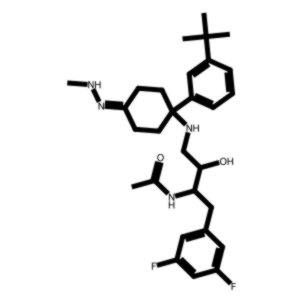 CNN=C1CCC(NCC(O)C(Cc2cc(F)cc(F)c2)NC(C)=O)(c2cccc(C(C)(C)C)c2)CC1